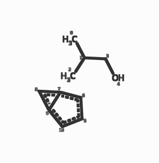 CC(C)CO.c1cc2cc-2c1